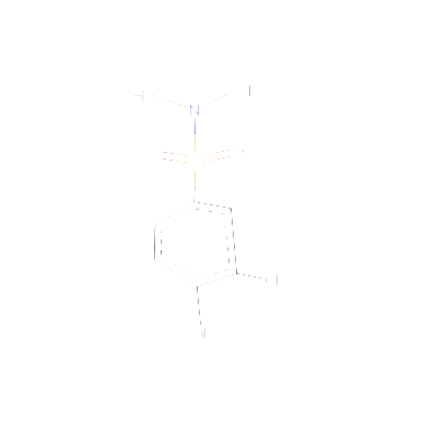 CC(C)c1ccc(S(=O)(=O)N(C)C)cc1C(F)(F)F